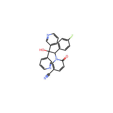 N#Cc1ccc(=O)n(C(c2ccc(F)cc2)C(O)(c2cccnc2)c2cccnc2)c1